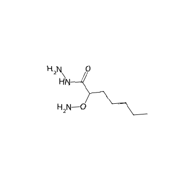 CCCCCC(ON)C(=O)NN